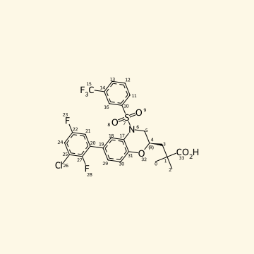 CC(C)(C[C@@H]1CN(S(=O)(=O)c2cccc(C(F)(F)F)c2)c2cc(-c3cc(F)cc(Cl)c3F)ccc2O1)C(=O)O